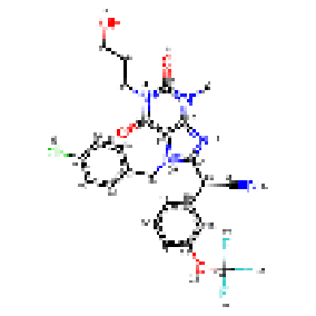 Cn1c(=O)n(CCCO)c(=O)c2c1nc(C(C#N)c1cccc(OC(F)(F)F)c1)n2Cc1ccc(Cl)cc1